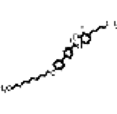 CCCCCCCCCCCOc1ccc(-c2ccc(C(=O)Oc3ccc(CCCCC)c(F)c3F)cc2)cc1